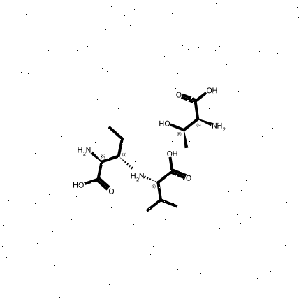 CC(C)[C@H](N)C(=O)O.CC[C@H](C)[C@H](N)C(=O)O.C[C@@H](O)[C@H](N)C(=O)O